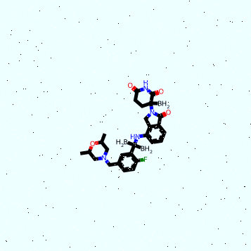 BC(B)(Nc1cccc2c1CN(C1(B)CCC(=O)NC1=O)C2=O)c1cc(CN2CC(C)OC(C)C2)ccc1F